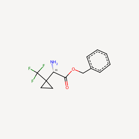 N[C@H](C(=O)OCc1ccccc1)C1(C(F)(F)F)CC1